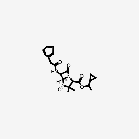 CC(OC(=O)C1N2C(=O)C(NC(=O)Cc3ccccc3)[C@H]2[S+]([O-])C1(C)C)C1CC1